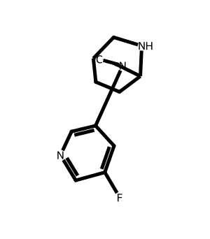 Fc1cncc(N2CC3CCC(C2)NC3)c1